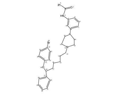 CC(C)C(=O)Nc1cccc(C2CCN(CCCCCC(Oc3ccc(Br)cc3)c3ccccc3)CC2)c1